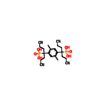 Cc1cc(C(CCC#N)(CCC#N)P(=O)(O)O)c(C)cc1C(CCC#N)(CCC#N)P(=O)(O)O